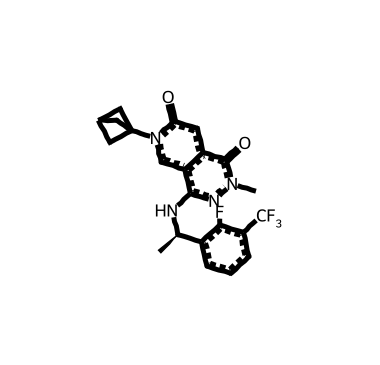 C[C@@H](Nc1nn(C)c(=O)c2cc(=O)n(C34CC(C3)C4)cc12)c1cccc(C(F)(F)F)c1F